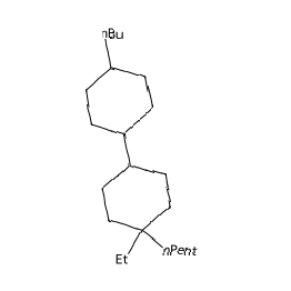 CCCCCC1(CC)CCC(C2CCC(CCCC)CC2)CC1